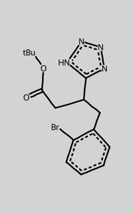 CC(C)(C)OC(=O)CC(Cc1ccccc1Br)c1nnn[nH]1